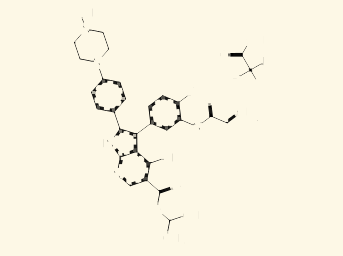 C=CC(=O)Nc1cc(-c2c(-c3ccc(N4CCN(C)CC4)cc3)[nH]c3ncc(C(=O)OC(C)C)c(C)c23)ccc1C.O=C(O)C(F)(F)F